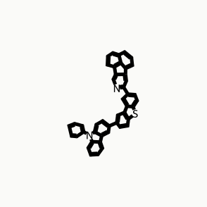 c1ccc(-n2c3ccccc3c3cc(-c4ccc5sc6ccc(-c7cc8c(cn7)-c7cccc9cccc-8c79)cc6c5c4)ccc32)cc1